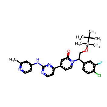 Cc1cc(Nc2nccc(-c3ccn(C(CO[Si](C)(C)C(C)(C)C)c4ccc(Cl)c(F)c4)c(=O)c3)n2)ccn1